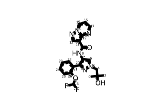 CC(C)(O)Cn1cc(NC(=O)c2cnn3cccnc23)c(-c2ccccc2OC(F)F)n1